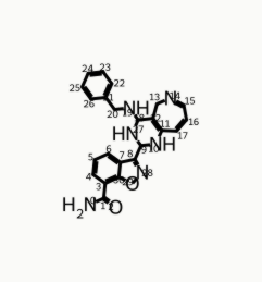 NC(=O)c1cccc2c(C3NC4=C(CN=CC=C4)C(NCc4ccccc4)N3)noc12